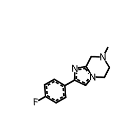 CN1CCn2cc(-c3ccc(F)cc3)nc2C1